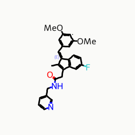 COc1[c]c(OC)cc(/C=C2/C(C)=C(CC(=O)NCc3cccnc3)c3cc(F)ccc32)c1